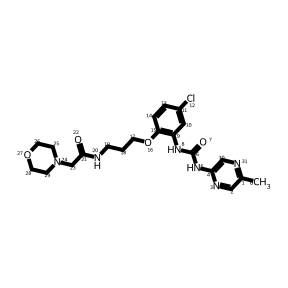 Cc1cnc(NC(=O)Nc2cc(Cl)ccc2OCCCNC(=O)CN2CCOCC2)cn1